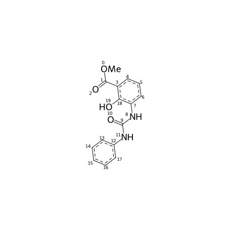 COC(=O)c1cccc(NC(=O)Nc2ccccc2)c1O